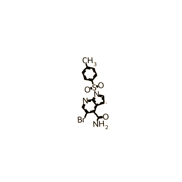 Cc1ccc(S(=O)(=O)n2c[c]c3c(C(N)=O)c(Br)cnc32)cc1